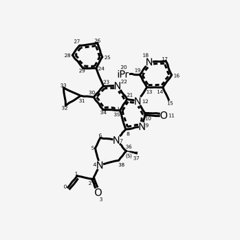 C=CC(=O)N1CCN(c2nc(=O)n(-c3c(C)ccnc3C(C)C)c3nc(-c4ccccc4)c(C4CC4)cc23)[C@@H](C)C1